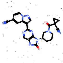 N#Cc1ccn2ncc(-c3ncc4[nH]c(=O)n([C@H]5CCCN(C(=O)C6(C#N)CC6)C5)c4n3)c2c1